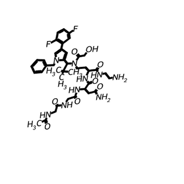 CC(=O)NCC(=O)NCC(=O)NC(CC(N)=O)C(=O)NC(CCN(C(=O)CO)C(c1cc(-c2cc(F)ccc2F)cn1Cc1ccccc1)C(C)(C)C)C(=O)NCCN